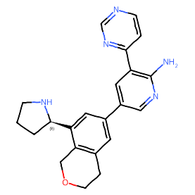 Nc1ncc(-c2cc3c(c([C@H]4CCCN4)c2)COCC3)cc1-c1ccncn1